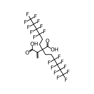 C=C(C(=O)O)C(CCC(F)(F)C(F)(F)C(F)(F)C(F)(F)F)(CCC(F)(F)C(F)(F)C(F)(F)C(F)(F)F)C(=O)O